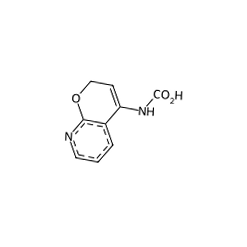 O=C(O)NC1=CCOc2ncccc21